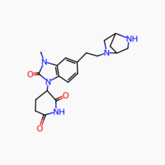 Cn1c(=O)n(C2CCC(=O)NC2=O)c2ccc(CCN3CC4CC3CN4)cc21